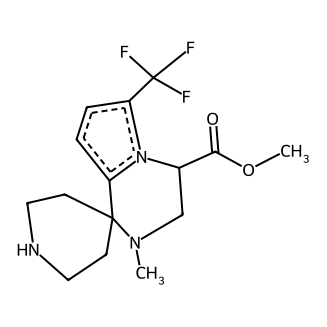 COC(=O)C1CN(C)C2(CCNCC2)c2ccc(C(F)(F)F)n21